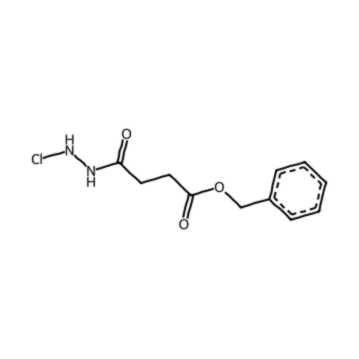 O=C(CCC(=O)OCc1ccccc1)NNCl